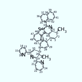 CC1CC=C(c2ccc(C3C=C(c4ccccn4)N=C(c4ccccn4)C3C)cc2)c2c1nc(-c1cccc3ccccc13)c1sc3ccccc3c21